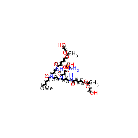 COCCCCC(=O)N(CCCNC(=O)CCCCOC(C)OCCO)CCCN(CCCNC(=O)CCCCOC(C)OCCO)C(=O)CCOP(N)(=O)O